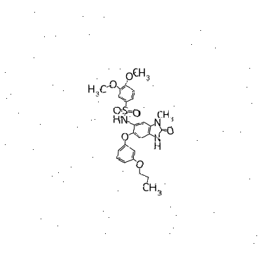 CCCOc1cccc(Oc2cc3[nH]c(=O)n(C)c3cc2NS(=O)(=O)c2ccc(OC)c(OC)c2)c1